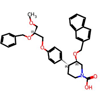 COC[C@@H](COc1ccc([C@H]2CCN(C(=O)O)C[C@@H]2OCc2ccc3ccccc3c2)cc1)OCc1ccccc1